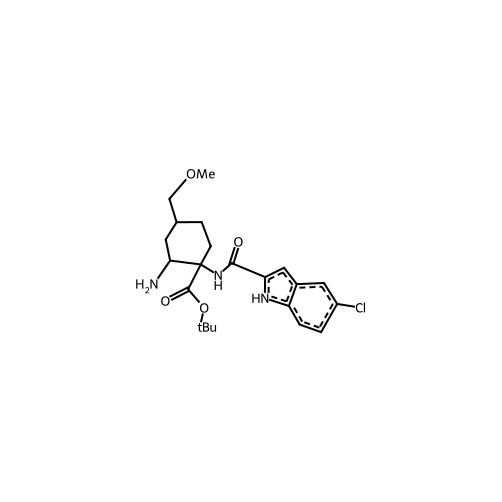 COCC1CCC(NC(=O)c2cc3cc(Cl)ccc3[nH]2)(C(=O)OC(C)(C)C)C(N)C1